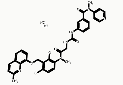 Cc1ccc2cccc(OCc3c(Cl)ccc(N(C)C(=O)CNC(=O)Nc4cccc(C(=O)N(C)c5ccncc5)c4)c3Cl)c2n1.Cl.Cl